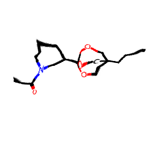 CCCC12COC(C3CCCN(C(C)=O)C3)(OC1)OC2